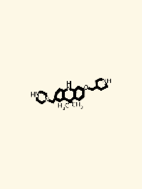 CC1(C)c2ccc(OCC3CCNCC3)cc2Nc2ccc(CN3CCNCC3)cc21